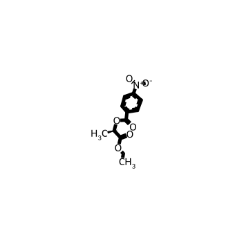 CCOC(=O)[C@@H](C)OC(=O)c1ccc([N+](=O)[O-])cc1